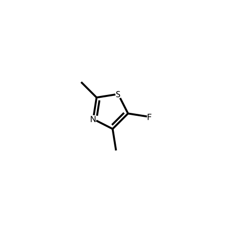 Cc1nc(C)c(F)s1